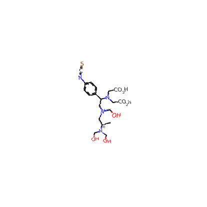 C[C@H](CN(CO)CC(c1ccc(N=C=S)cc1)N(CC(=O)O)CC(=O)O)N(CO)CO